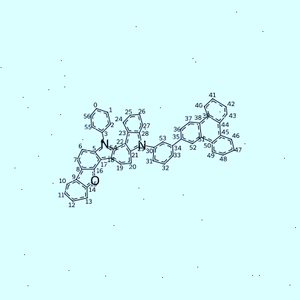 c1ccc(-n2c3ccc4c5ccccc5oc4c3c3ccc4c(c5ccccc5n4-c4cccc(-c5ccc6c7ccccc7c7ccccc7c6c5)c4)c32)cc1